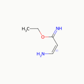 CCOC(=N)/C=C\N